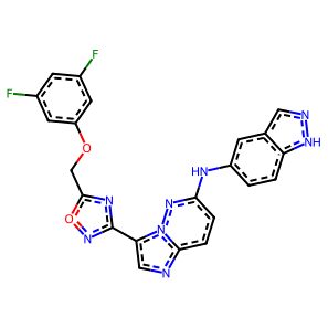 Fc1cc(F)cc(OCc2nc(-c3cnc4ccc(Nc5ccc6[nH]ncc6c5)nn34)no2)c1